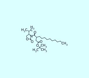 CCCCCCCCCCC(CC(=O)OC(C)(C)C)C(=O)N1C(=O)OCC1C(C)C